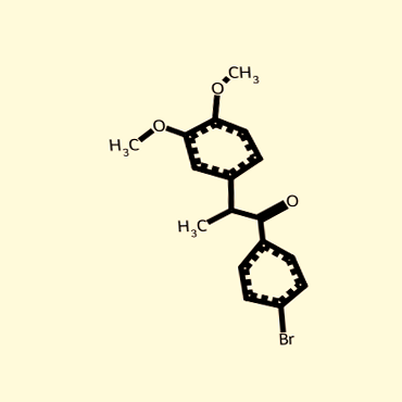 COc1ccc(C(C)C(=O)c2ccc(Br)cc2)cc1OC